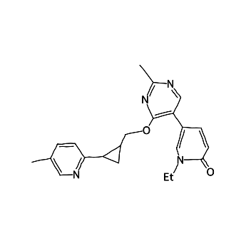 CCn1cc(-c2cnc(C)nc2OCC2CC2c2ccc(C)cn2)ccc1=O